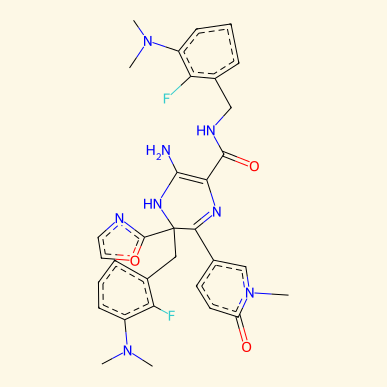 CN(C)c1cccc(CNC(=O)C2=C(N)NC(Cc3cccc(N(C)C)c3F)(c3ncco3)C(c3ccc(=O)n(C)c3)=N2)c1F